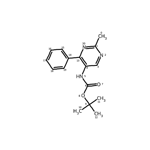 Cc1ncc(NC(=O)OC(C)(C)C)c(-c2ccccc2)n1